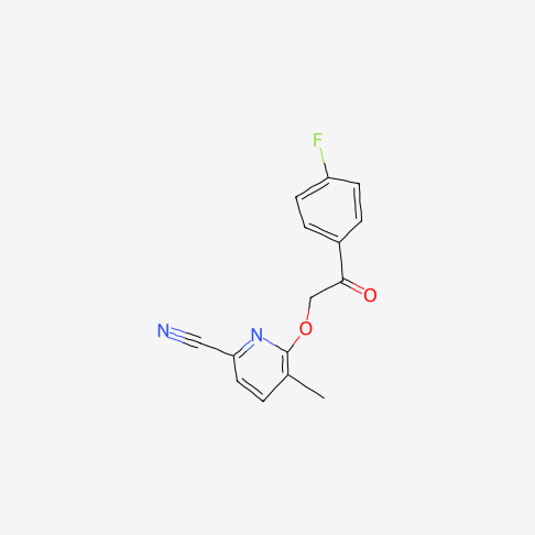 Cc1ccc(C#N)nc1OCC(=O)c1ccc(F)cc1